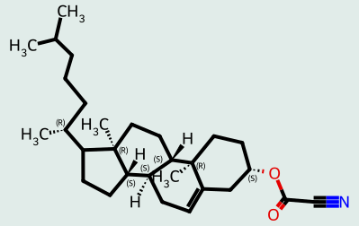 CC(C)CCC[C@@H](C)C1CC[C@H]2[C@@H]3CC=C4C[C@@H](OC(=O)C#N)CC[C@]4(C)[C@H]3CC[C@]12C